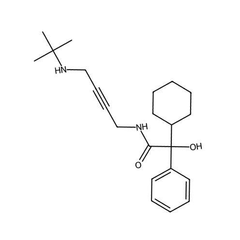 CC(C)(C)NCC#CCNC(=O)C(O)(c1ccccc1)C1CCCCC1